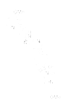 COCCN1CCN(S(=O)(=O)c2ccc(-c3cnc4[nH]c(CCc5cc(OC)ccn5)nc4c3)cc2)CC1